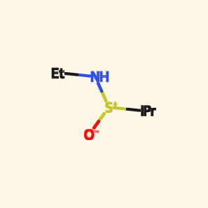 CCN[S+]([O-])C(C)C